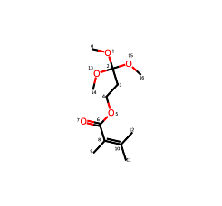 COC(CCOC(=O)C(C)=C(C)C)(OC)OC